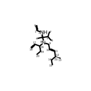 C=CNC(C)(C(C)C)N(CC=C[C@@H](C)CC)C(C=C)CC